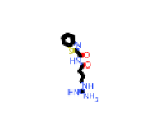 N=C(N)NCCCC(=O)NC(=O)c1nc2ccccc2s1